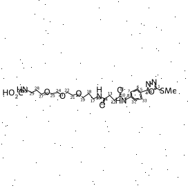 CSc1nnc(-c2ccc(NC(=O)CCC(=O)NCCCOCCOCCOCCCNC(=O)O)cc2)o1